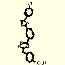 O=C(O)c1ccc(Cc2nnc(-c3cccc(-c4ncc(-c5ccc(Cl)cc5)o4)c3)s2)cc1